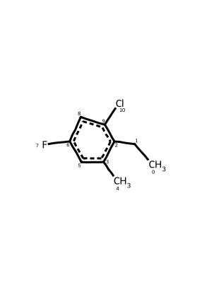 CCc1c(C)cc(F)cc1Cl